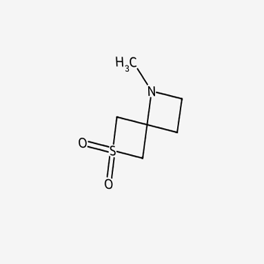 CN1CCC12CS(=O)(=O)C2